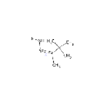 C/C(=N/NI)C(C)(C)C